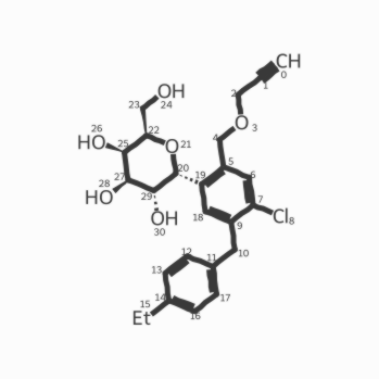 C#CCOCc1cc(Cl)c(Cc2ccc(CC)cc2)cc1[C@H]1O[C@H](CO)[C@H](O)[C@H](O)[C@H]1O